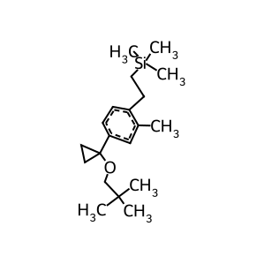 Cc1cc(C2(OCC(C)(C)C)CC2)ccc1CC[Si](C)(C)C